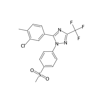 Cc1ccc(-c2nc(C(F)(F)F)nn2-c2ccc(S(C)(=O)=O)cc2)cc1Cl